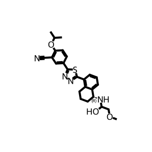 COCC(O)N[C@@H]1CCCc2c(-c3nnc(-c4ccc(OC(C)C)c(C#N)c4)s3)cccc21